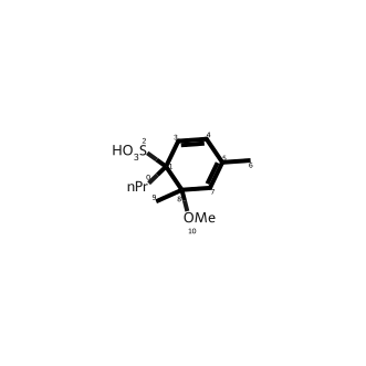 CCCC1(S(=O)(=O)O)C=CC(C)=CC1(C)OC